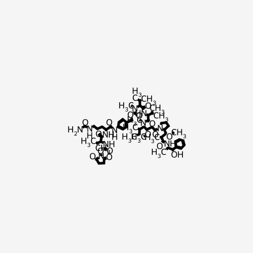 CCC(C)C(C(CC(=O)N1CCCC1C(OC)C(C)C(=O)NC(C)C(O)c1ccccc1)OC)N(C)C(=O)C(NC(=O)C(C(C)C)N(C)C(=O)OCc1ccc(NC(=O)C(CCCNC(N)=O)NC(=O)C(NC(=O)ON2C(=O)CCC2=O)C(C)C)cc1)C(C)C